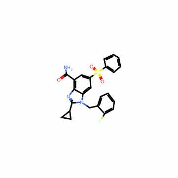 NC(=O)c1cc(S(=O)(=O)c2ccccc2)cc2c1nc(C1CC1)n2Cc1ccccc1F